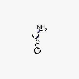 C=C/C(=C\C=C(/C)N)OCc1ccccc1